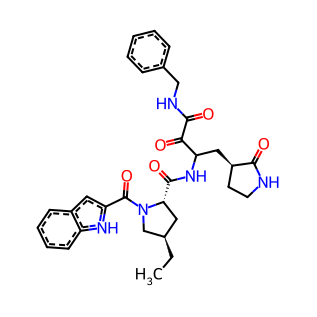 CC[C@@H]1C[C@@H](C(=O)NC(C[C@@H]2CCNC2=O)C(=O)C(=O)NCc2ccccc2)N(C(=O)c2cc3ccccc3[nH]2)C1